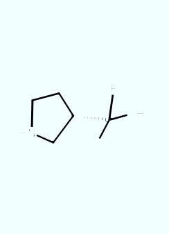 CC(F)(F)[C@H]1CCNC1